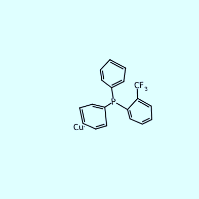 FC(F)(F)c1ccccc1P(c1ccccc1)c1ccccc1.[Cu]